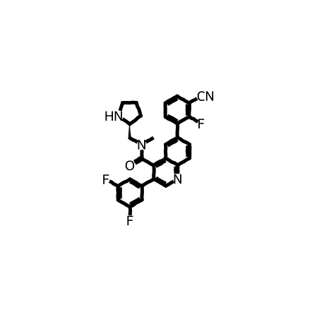 CN(C[C@@H]1CCCN1)C(=O)c1c(-c2cc(F)cc(F)c2)cnc2ccc(-c3cccc(C#N)c3F)cc12